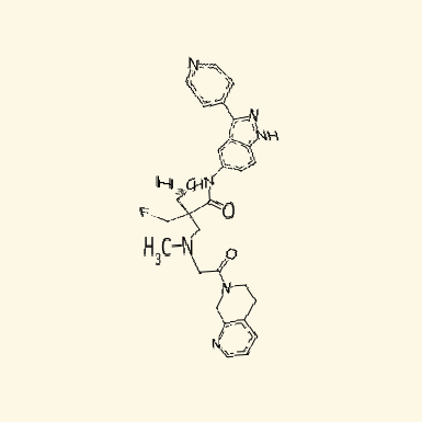 CCC(CF)(CN(C)CC(=O)N1CCc2cccnc2C1)C(=O)Nc1ccc2[nH]nc(-c3ccncc3)c2c1